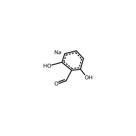 O=Cc1c(O)cccc1O.[Na]